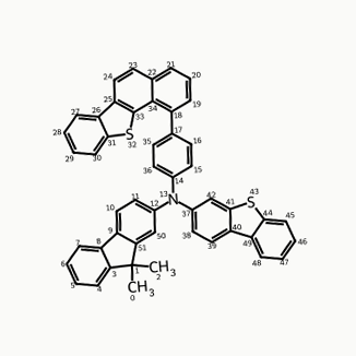 CC1(C)c2ccccc2-c2ccc(N(c3ccc(-c4cccc5ccc6c7ccccc7sc6c45)cc3)c3ccc4c(c3)sc3ccccc34)cc21